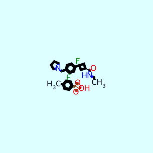 CCNC(=O)[C@H]1C[C@](F)(c2ccc(CN3CCCC3)c(F)c2)C1.Cc1ccc(S(=O)(=O)O)cc1